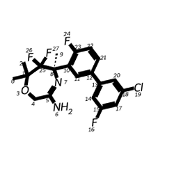 CC1(C)OCC(N)=N[C@](C)(c2cc(-c3cc(F)cc(Cl)c3)ccc2F)C1(F)F